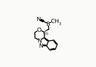 CB(C#N)C[C@@H]1OCCn2nc3ccccc3c21